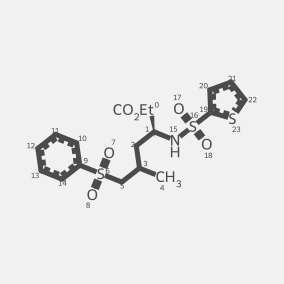 CCOC(=O)[C@H](CC(C)CS(=O)(=O)c1ccccc1)NS(=O)(=O)c1cccs1